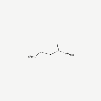 CCCCCCCC(C)CCCCC